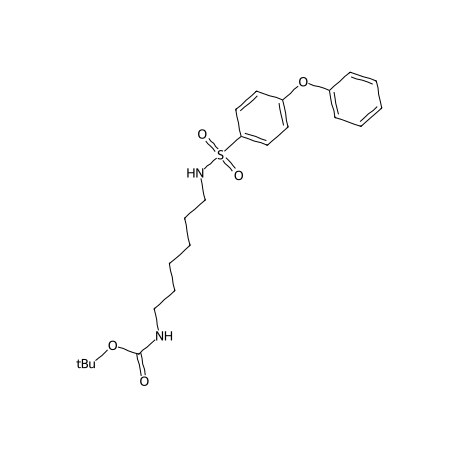 CC(C)(C)OC(=O)NCCCCCCNS(=O)(=O)c1ccc(Oc2ccccc2)cc1